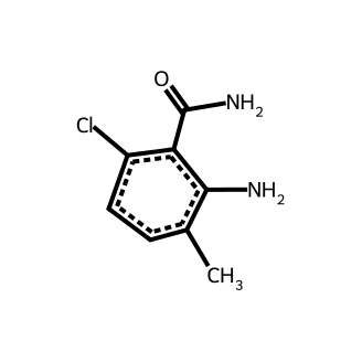 Cc1ccc(Cl)c(C(N)=O)c1N